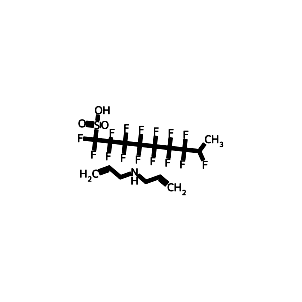 C=CCNCC=C.CC(F)C(F)(F)C(F)(F)C(F)(F)C(F)(F)C(F)(F)C(F)(F)C(F)(F)S(=O)(=O)O